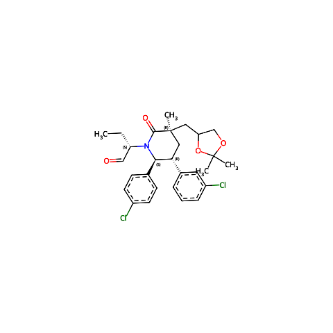 CC[C@@H](C=O)N1C(=O)[C@@](C)(CC2COC(C)(C)O2)C[C@H](c2cccc(Cl)c2)[C@H]1c1ccc(Cl)cc1